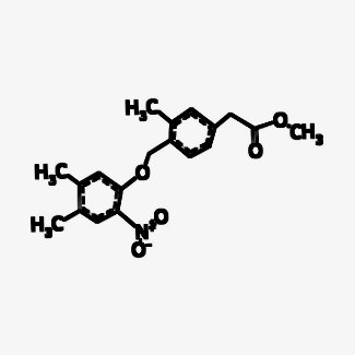 COC(=O)Cc1ccc(COc2cc(C)c(C)cc2[N+](=O)[O-])c(C)c1